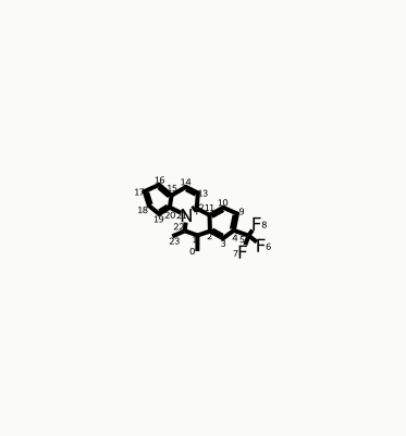 CC1c2cc(C(F)(F)F)ccc2-c2ccc3ccccc3[n+]2C1C